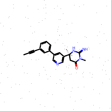 CC#Cc1cccc(-c2cncc([C@]3(C)CC(=O)N(C)C(=N)N3)c2)c1